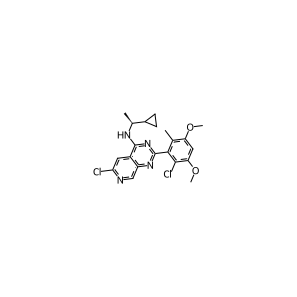 COc1cc(OC)c(Cl)c(-c2nc(N[C@@H](C)C3CC3)c3cc(Cl)ncc3n2)c1C